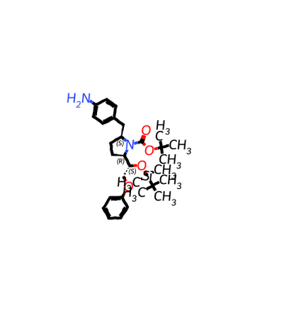 CC(C)(C)OC(=O)N1[C@H](Cc2ccc(N)cc2)CC[C@@H]1[C@@H](COc1ccccc1)O[Si](C)(C)C(C)(C)C